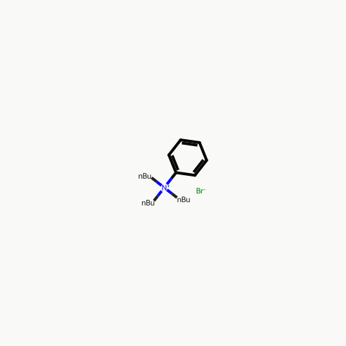 CCCC[N+](CCCC)(CCCC)c1ccccc1.[Br-]